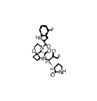 O=C1NCC[C@H]1C[C@@H](NC(=O)[C@H]1N(C(=O)c2cc3c(F)cccc3[nH]2)CCOC12CCC2)C(=O)CF